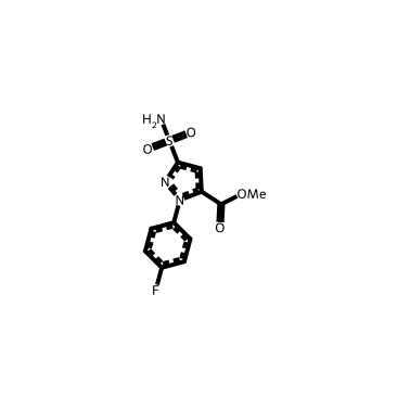 COC(=O)c1cc(S(N)(=O)=O)nn1-c1ccc(F)cc1